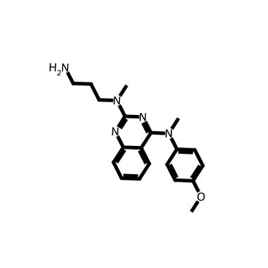 COc1ccc(N(C)c2nc(N(C)CCCN)nc3ccccc23)cc1